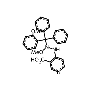 COc1ccccc1C(c1ccccc1)(c1ccccc1)N(Nc1ccncc1C(=O)O)OC